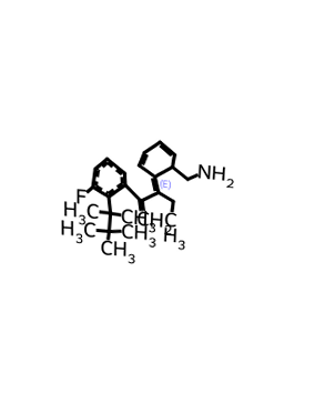 C=C(/C(CC)=C1\C=CC=CC1CN)c1cccc(F)c1C(C)(C)C(C)(C)C